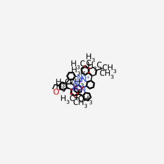 CC(C)(C)C1=CC(c2cccc(-c3cc(C(C)(C)C)cc(C(C)(C)C)c3)c2[N+]23c4ccccc4[N+]24c2cccc5c2[N+]2(c6c(ccc7c8ccccc8n(c67)-c6cccc[n+]62)-c2cc6c(cc2-5)CCO6)C43)=CC(C(C)(C)C)C1